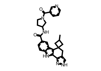 CC1CC2(Cc3c[nH]nc3-c3[nH]c4ccc(C(=O)NC5CCN(C(=O)c6cccnc6)C5)cc4c32)C1